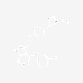 Cn1nnc(-c2ccc(CNc3n[nH]c4ncnc(Nc5cccc(Cl)c5)c34)cc2)n1